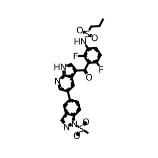 CCCS(=O)(=O)Nc1ccc(F)c(C(=O)c2c[nH]c3ncc(-c4ccc5c(cnn5S(C)(=O)=O)c4)cc23)c1F